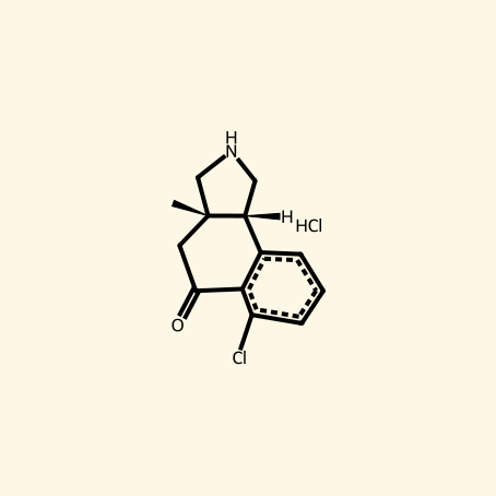 C[C@@]12CNC[C@@H]1c1cccc(Cl)c1C(=O)C2.Cl